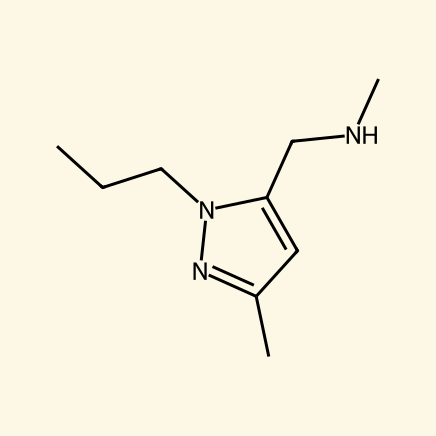 CCCn1nc(C)cc1CNC